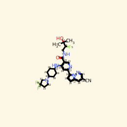 CC(C)(O)C(F)CNC(=O)c1cnc(-c2ccc3cc(C#N)cnn23)cc1NC1CCC(N2CCC(F)(F)C2)CC1